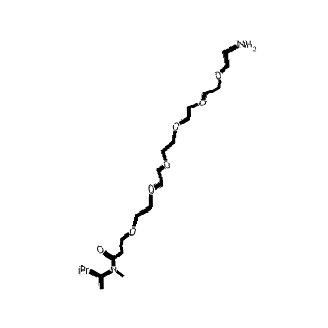 CC(C)C(C)N(C)C(=O)CCOCCOCCOCCOCCOCCOCCN